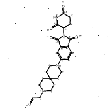 O=CCN1CCC2(CC1)CCN(c1ccc3c(c1)C(=O)N(C1CCC(=O)NC1=O)C3=O)CC2